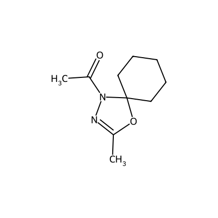 CC(=O)N1N=C(C)OC12CCCCC2